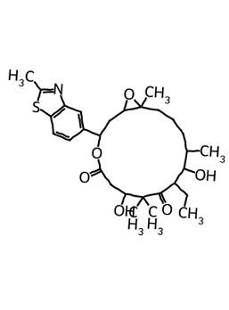 CCC1C(=O)C(C)(C)C(O)CC(=O)OC(c2ccc3sc(C)nc3c2)CC2OC2(C)CCCC(C)C1O